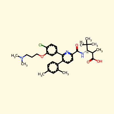 Cc1ccc(-c2ccc(C(=O)N[C@@H](C(C)C(=O)O)C(C)(C)C)nc2-c2ccc(Cl)c(OCCCN(C)C)c2)c(C)c1